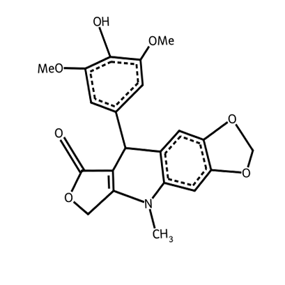 COc1cc(C2C3=C(COC3=O)N(C)c3cc4c(cc32)OCO4)cc(OC)c1O